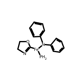 [PH2][Fe]([C]1=NCCO1)[N](c1ccccc1)c1ccccc1